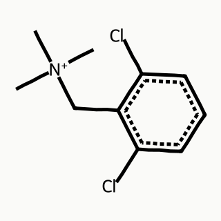 C[N+](C)(C)Cc1c(Cl)cccc1Cl